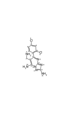 NCc1c(-c2ccc(Cl)cc2Cl)nc2nc(N)nn2c1N